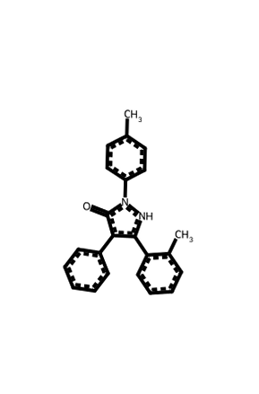 Cc1ccc(-n2[nH]c(-c3ccccc3C)c(-c3ccccc3)c2=O)cc1